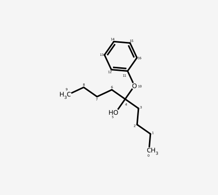 CCCCC(O)(CCCC)Oc1ccccc1